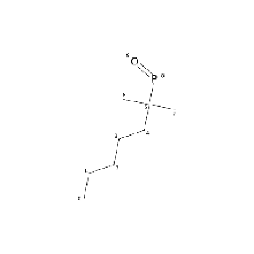 CCCCCC(C)(C)P=O